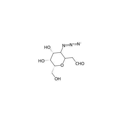 [N-]=[N+]=NC1C(CC=O)O[C@H](CO)[C@H](O)[C@@H]1O